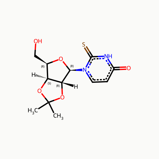 CC1(C)O[C@@H]2[C@@H](O1)[C@@H](CO)O[C@H]2n1ccc(=O)[nH]c1=S